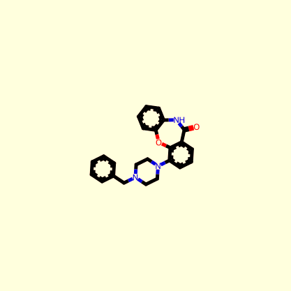 O=C1Nc2ccccc2Oc2c1cccc2N1CCN(Cc2ccccc2)CC1